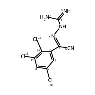 N#CC(=NNC(=N)N)c1cc(Cl)cc(Cl)c1Cl